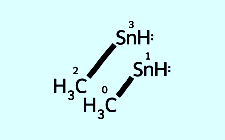 [CH3][SnH].[CH3][SnH]